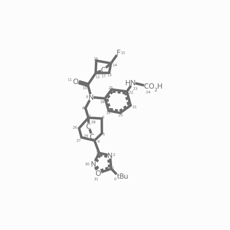 CC(C)(C)c1nc(C23CCC(CN(C(=O)C45CC(F)(C4)C5)c4cccc(NC(=O)O)c4)(CC2)CC3)no1